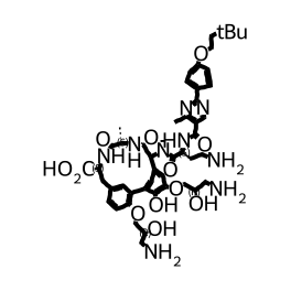 Cc1nc(-c2ccc(OCCC(C)(C)C)cc2)ncc1C(=O)N[C@@H](CCN)C(=O)N(C)C1C(=O)N[C@@H](C)C(=O)N[C@H](C(=O)O)Cc2ccc(OC[C@H](O)CN)c(c2)-c2cc1cc(OC[C@H](O)CN)c2O